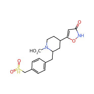 O=C(O)N1CCC(c2cc(=O)[nH]o2)CC1Cc1ccc(C[SH](=O)=O)cc1